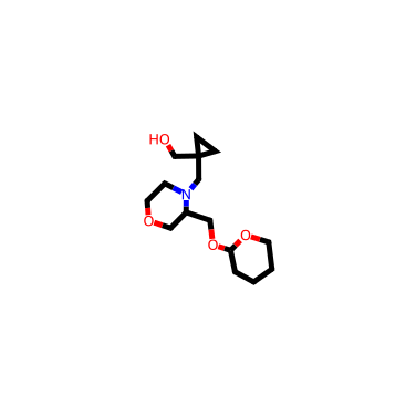 OCC1(CN2CCOCC2COC2CCCCO2)CC1